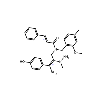 COc1cc(C)ccc1CN(C/C(=C(/N)c1ccc(O)cc1)N(C)N)C(=O)/C=C/c1ccccc1